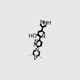 C[C@@H]1CN(c2ccc(-c3ncc(-c4cn[nH]c4)cc3O)nn2)C[C@H](C)N1C